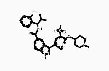 CC(C)[C@H](NC(=O)c1ccc2[nH]nc(-c3ccc(OC4CCN(C)CC4)c(S(C)(=O)=O)c3)c2c1)c1ccccc1Cl